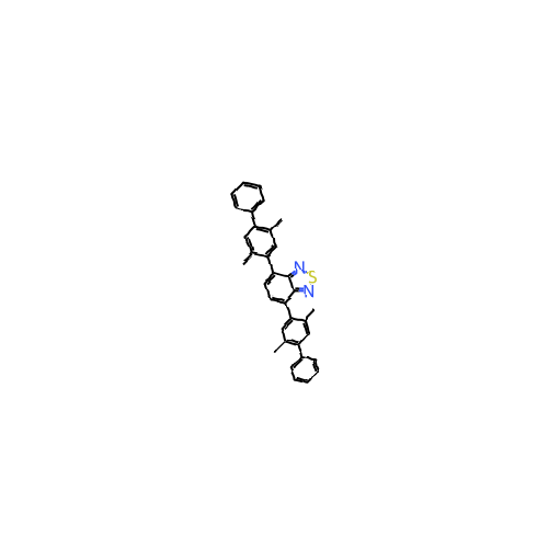 Cc1cc(-c2ccc(-c3cc(C)c(-c4ccccc4)cc3C)c3nsnc23)c(C)cc1-c1ccccc1